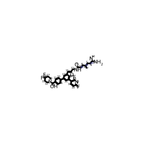 C=N\C(N)=C/C=C(C)/C=C/C(=O)NCc1cc2cc(-c3ccc(C(O)N4CCC(F)(F)CC4)cc3)cc(-c3ccc(F)nc3F)c2o1